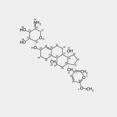 C=C(/C=C\C(=O)OC)[C@H]1CC[C@]2(O)C3CCC4=CC(O[C@H]5OC[C@H](N)C(O)C5O)CC[C@]4(C)C3CC[C@]12C